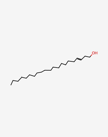 CCC[CH]CCCCCCCCCCCCCC=CCCO